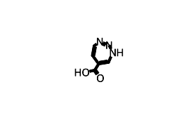 O=C(O)C1=CNN=NC=C1